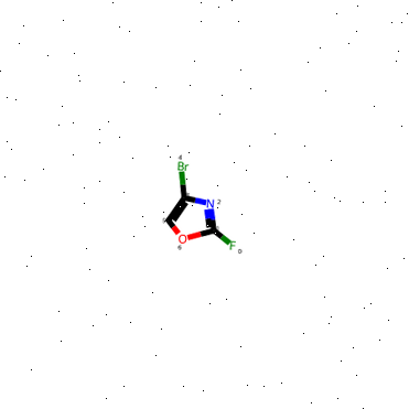 Fc1nc(Br)[c]o1